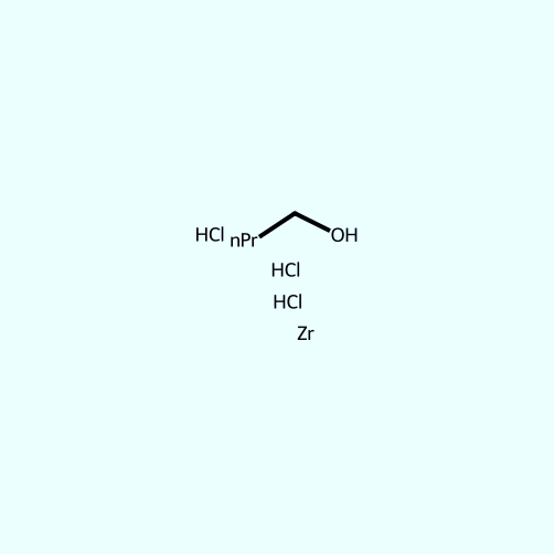 CCCCO.Cl.Cl.Cl.[Zr]